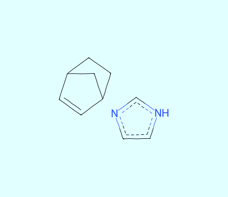 C1=CC2CCC1C2.c1c[nH]cn1